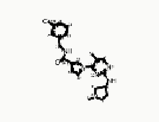 Cc1cnc(NC2CCN(C)C2)nc1-n1ccc(C(=O)NCc2cccc(Cl)c2)c1